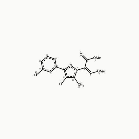 COC=C(C(=O)OC)n1nc(-c2cccc(Cl)c2)c(Cl)c1C